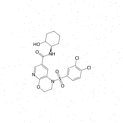 O=C(N[C@@H]1CCCCC1O)c1cnc2c(c1)N(S(=O)(=O)c1ccc(Cl)c(Cl)c1)CCO2